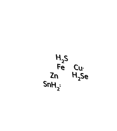 S.[Cu].[Fe].[SeH2].[SnH2].[Zn]